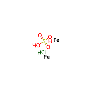 Cl.O=S(=O)(O)O.[Fe].[Fe]